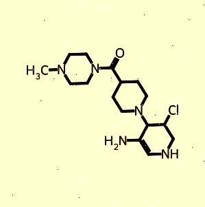 CN1CCN(C(=O)C2CCN(C3C(N)=CNCC3Cl)CC2)CC1